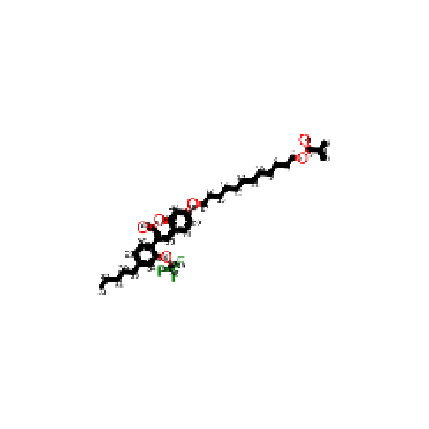 C=C(C)C(=O)OCCCCCCCCCCCCOc1ccc2cc(-c3ccc(CCCCC)cc3OC(F)(F)F)c(=O)oc2c1